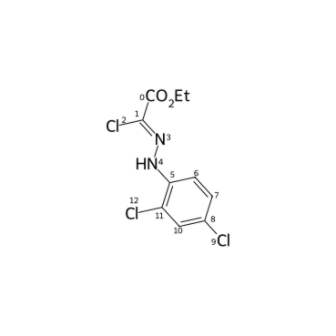 CCOC(=O)C(Cl)=NNc1ccc(Cl)cc1Cl